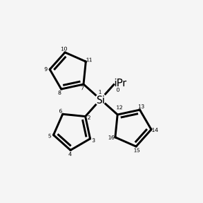 CC(C)[Si](C1=CC=CC1)(C1=CC=CC1)C1=CC=CC1